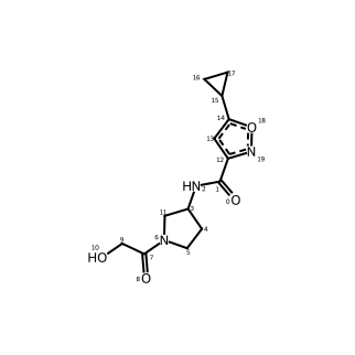 O=C(NC1CCN(C(=O)CO)C1)c1cc(C2CC2)on1